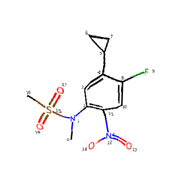 CN(c1cc(C2CC2)c(F)cc1[N+](=O)[O-])S(C)(=O)=O